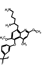 COc1cc(C)c2c(Oc3cccc(C(F)(F)F)c3)c(OC)cc(CC(N)CCCN)c2n1